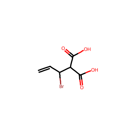 C=CC(Br)C(C(=O)O)C(=O)O